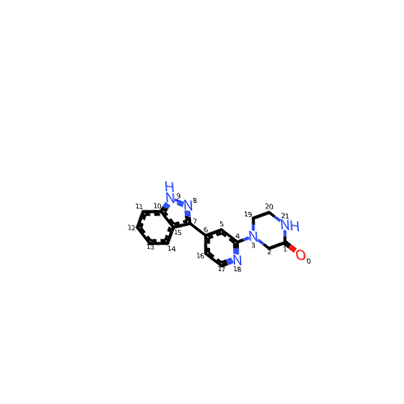 O=C1CN(c2cc(-c3n[nH]c4ccccc34)ccn2)CCN1